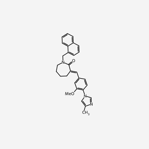 COc1cc(C=C2CCCCN(Cc3cccc4ccccc34)C2=O)ccc1-n1cnc(C)c1